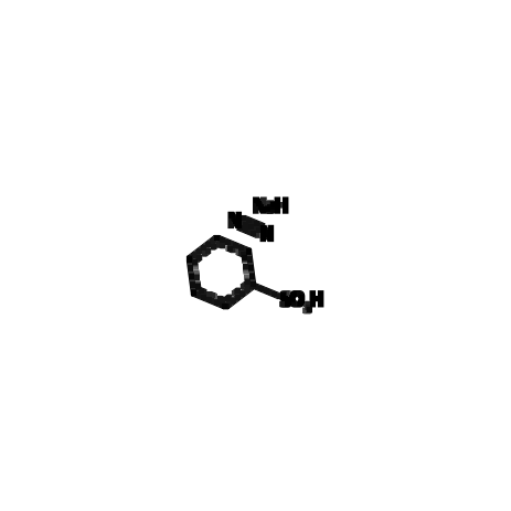 N#N.O=S(=O)(O)c1ccccc1.[NaH]